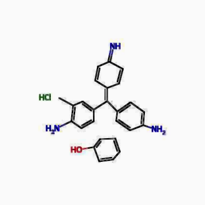 Cc1cc(C(=C2C=CC(=N)C=C2)c2ccc(N)cc2)ccc1N.Cl.Oc1ccccc1